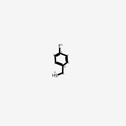 Fc1ccc([CH]S)cc1